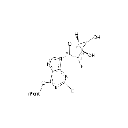 CCCCCOc1nc(Cl)nc2c1ncn2[C@@H]1O[C@@H]2C(O)[C@]2(O)[C@@H]1F